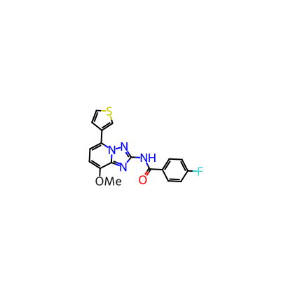 COc1ccc(-c2ccsc2)n2nc(NC(=O)c3ccc(F)cc3)nc12